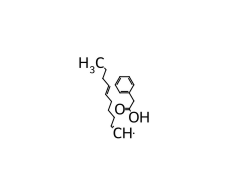 O=C(O)Cc1ccccc1.[CH]=CCCCC=CCCC